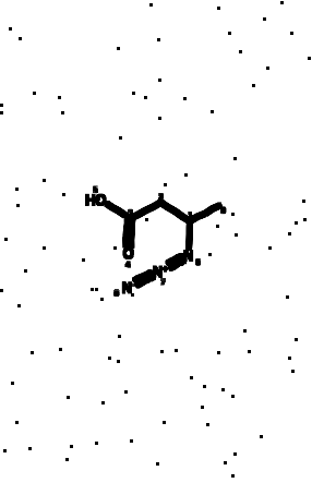 CC(CC(=O)O)N=[N+]=[N-]